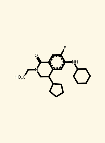 O=C(O)CN1CC(C2CCCC2)c2cc(NC3CCCCC3)c(F)cc2C1=O